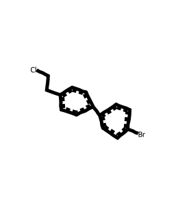 ClCCc1ccc(-c2ccc(Br)cc2)cc1